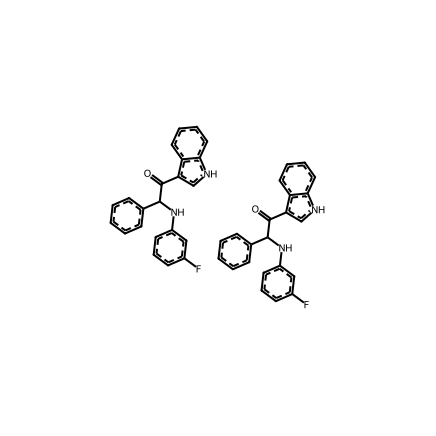 O=C(c1c[nH]c2ccccc12)C(Nc1cccc(F)c1)c1ccccc1.O=C(c1c[nH]c2ccccc12)C(Nc1cccc(F)c1)c1ccccc1